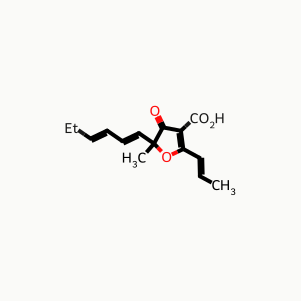 CC=CC1=C(C(=O)O)C(=O)C(C)(C=CC=CCC)O1